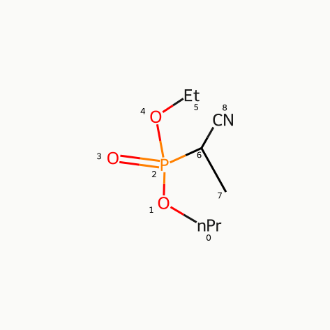 CCCOP(=O)(OCC)C(C)C#N